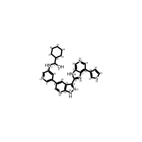 OC(Nc1cncc(-c2cnc3[nH]nc(-c4nc5c(-c6ccsc6)cncc5[nH]4)c3c2)c1)C1CCCCC1